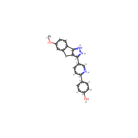 CC(C)Oc1ccc2c(c1)Cc1c(-c3ccc(-c4ccc(O)cc4)nc3)n[nH]c1-2